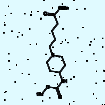 COC(=O)CCCCN1CCC(NC(=O)OC(C)(C)C)CC1